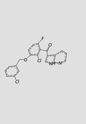 O=C(c1c(F)ccc(OCc2cccc(Cl)c2)c1Cl)c1c[nH]c2ncccc12